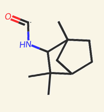 CC12CCC(C1)C(C)(C)C2N[C]=O